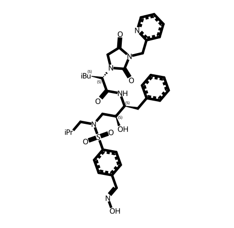 CC[C@H](C)[C@@H](C(=O)N[C@@H](Cc1ccccc1)[C@@H](O)CN(CC(C)C)S(=O)(=O)c1ccc(C=NO)cc1)N1CC(=O)N(Cc2ccccn2)C1=O